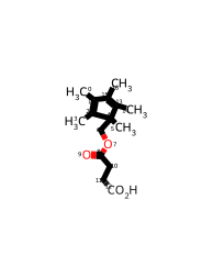 CC1=C(C)C(C)(COC(=O)CCC(=O)O)C(C)=C1C